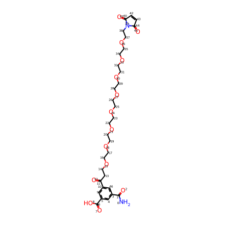 NC(=O)c1cc(C(=O)O)cc(C(=O)CCOCCOCCOCCOCCOCCOCCOCCOCCN2C(=O)C=CC2=O)c1